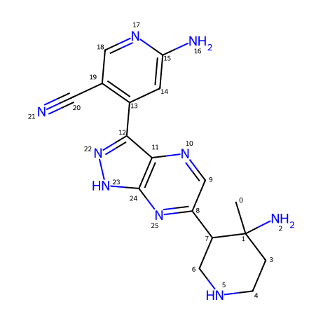 CC1(N)CCNCC1c1cnc2c(-c3cc(N)ncc3C#N)n[nH]c2n1